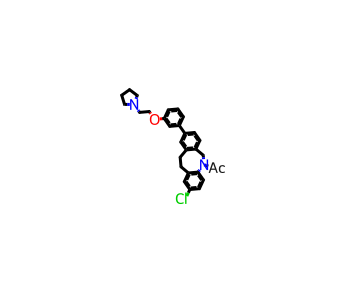 CC(=O)N1Cc2ccc(-c3cccc(OCCN4CCCC4)c3)cc2CCc2cc(Cl)ccc21